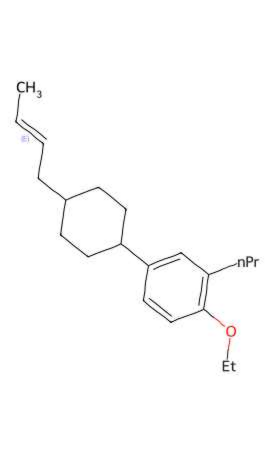 C/C=C/CC1CCC(c2ccc(OCC)c(CCC)c2)CC1